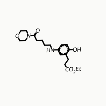 CCOC(=O)CCc1cc(NCCCCC(=O)N2CCOCC2)ccc1O